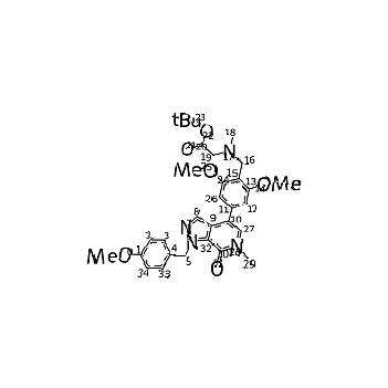 COc1ccc(Cn2ncc3c(-c4cc(OC)c(CN(C)CC(=O)OC(C)(C)C)c(OC)c4)cn(C)c(=O)c32)cc1